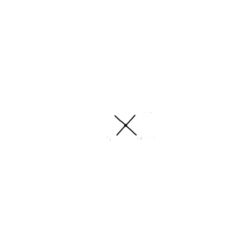 CCCCCCC(C#N)(CCCCC)CCCCC